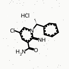 C[C@H](c1ccccc1)n1cc(Cl)cc(C(N)=O)c1=N.Cl